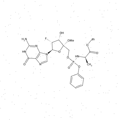 CO[C@]1(CO[P@@](=O)(N[C@H](C)C(=O)OC(C)C)Oc2ccccc2)O[C@@H](n2cnc3c(=O)[nH]c(N)nc32)[C@H](F)[C@@H]1O